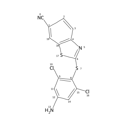 N#Cc1ccc2nc(Sc3c(Cl)cc(N)cc3Cl)sc2c1